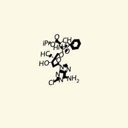 C#C[C@]1(COP(=O)(N[C@@H](C)C(=O)OC(C)C)Oc2ccccc2)O[C@@H](n2cnc3c(N)nc(Cl)nc32)C[C@@H]1O